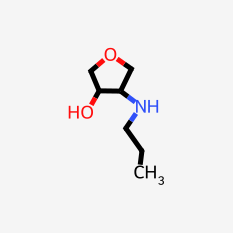 CCCNC1COCC1O